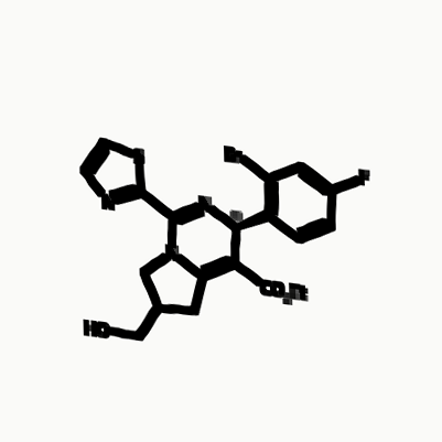 CCOC(=O)C1=C2CC(CO)CN2C(c2nccs2)=N[C@H]1c1ccc(F)cc1Br